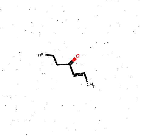 CC=CC(=O)CC[CH]CC